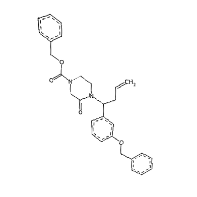 C=CCC(c1cccc(OCc2ccccc2)c1)N1CCN(C(=O)OCc2ccccc2)CC1=O